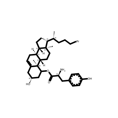 CC(C)CCC[C@@H](C)[C@H]1CC[C@H]2[C@@H]3CC=C4C[C@@H](O)CC(OC(=O)[C@@H](N)Cc5ccc(O)cc5)[C@]4(C)[C@H]3CC[C@]12C